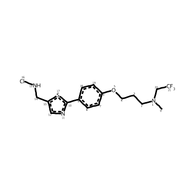 CN(CCCOc1ccc(-c2ncc(CNCl)s2)cc1)CC(F)(F)F